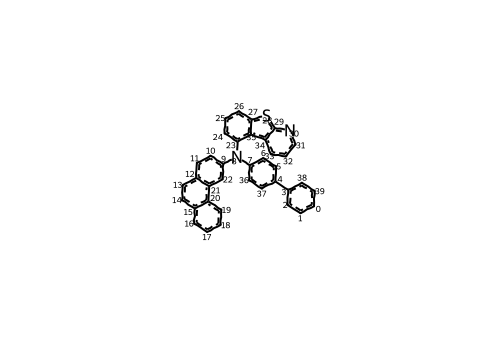 c1ccc(-c2ccc(N(c3ccc4ccc5ccccc5c4c3)c3cccc4sc5ncccc5c34)cc2)cc1